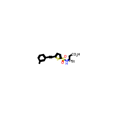 CC[C@@H](CC(=O)O)NS(=O)(=O)c1ccc(C#Cc2cccc(C)c2)s1